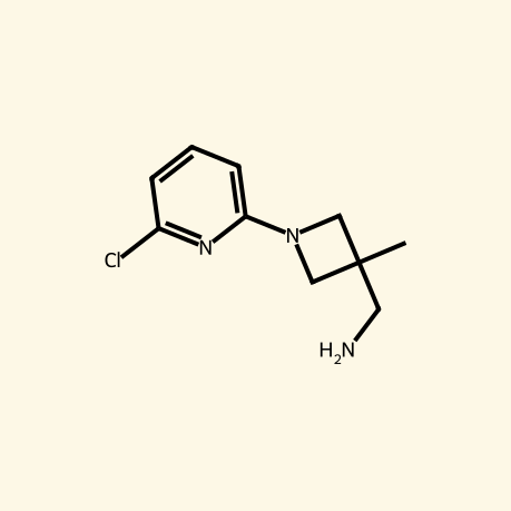 CC1(CN)CN(c2cccc(Cl)n2)C1